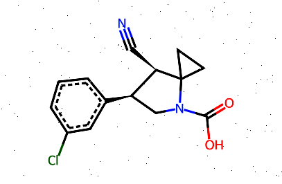 N#C[C@@H]1[C@H](c2cccc(Cl)c2)CN(C(=O)O)C12CC2